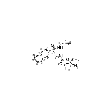 CC(C)(C)OC(=O)NCC(C(=O)NCC#N)c1ccc2ccccc2c1